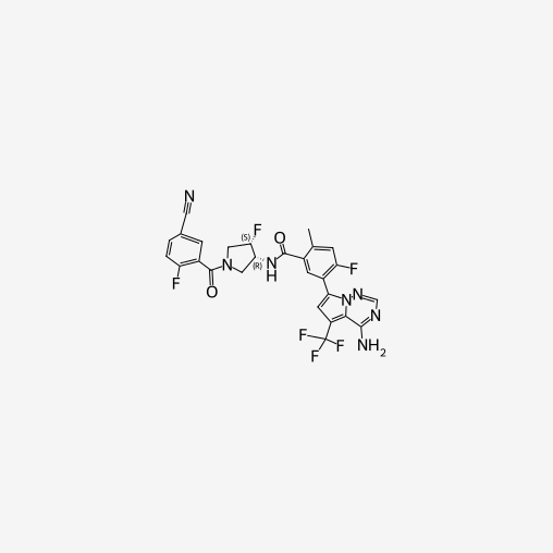 Cc1cc(F)c(-c2cc(C(F)(F)F)c3c(N)ncnn23)cc1C(=O)N[C@@H]1CN(C(=O)c2cc(C#N)ccc2F)C[C@@H]1F